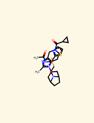 CC(=O)N[C@@H](CCN1C2CCC1CC(n1c(C)nc3c1CCN(C(=O)C1CC1)C3)C2)c1nccs1